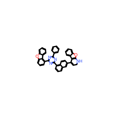 C1=C(c2ccc3c(-c4nc(-c5ccccc5)nc(-c5cccc6oc7ccccc7c56)n4)cccc3c2)c2c(oc3ccccc23)NC1